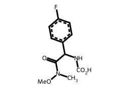 CON(C)C(=O)C(NC(=O)O)c1ccc(F)cc1